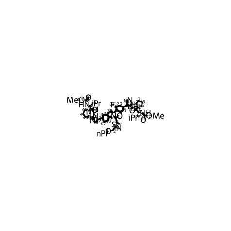 CCCOCc1ncc(C2Oc3cc(-c4cnc([C@@H]5CCCN5C(=O)[C@@H](NC(=O)OC)C(C)C)[nH]4)cc(F)c3-c3cc4cc(-c5cnc([C@@H]6CCCN6C(=O)[C@@H](NC(=O)OC)C(C)C)[nH]5)ccc4n32)s1